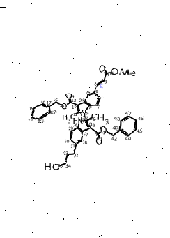 COC(=O)/C=C/c1ccc2[nH]c(C)c(C(=O)OCc3ccccc3)c2c1.Cc1[nH]c2ccc(CCCO)cc2c1C(=O)OCc1ccccc1